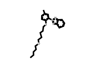 CCCCCOCCCCCSc1ccc(C)cc1-n1nc2ccccc2n1